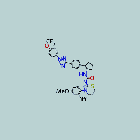 COc1ccc(N2CCCS/C2=N\C(=O)NC2=C(c3ccc(-c4ncn(-c5ccc(OC(F)(F)F)cc5)n4)cc3)CCC2)c(C(C)C)c1